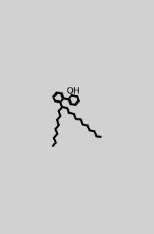 CCCCCCCCCCCC(CCCCCCCCC)c1ccccc1-c1ccccc1O